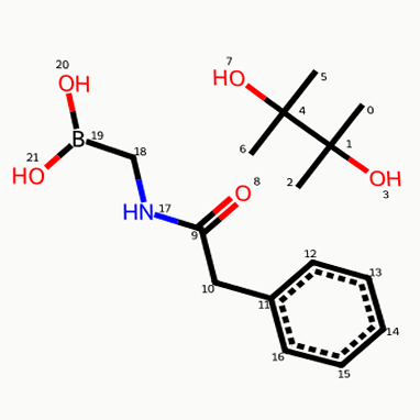 CC(C)(O)C(C)(C)O.O=C(Cc1ccccc1)NCB(O)O